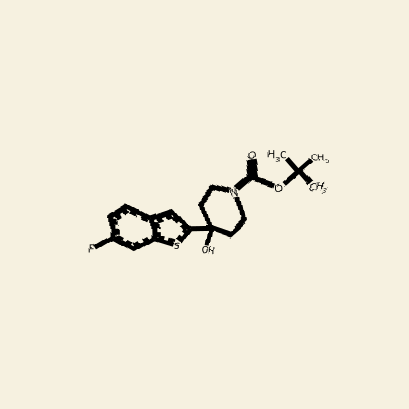 CC(C)(C)OC(=O)N1CCC(O)(c2cc3ccc(F)cc3s2)CC1